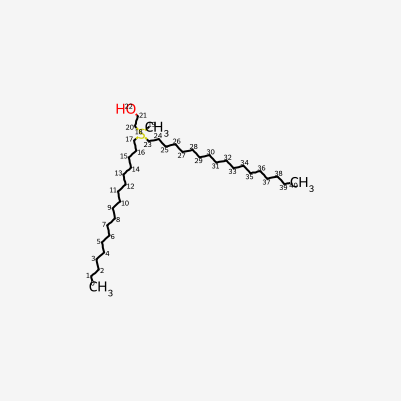 CCCCCCCCCCCCCCCCCCS(C)(CCO)CCCCCCCCCCCCCCCCCC